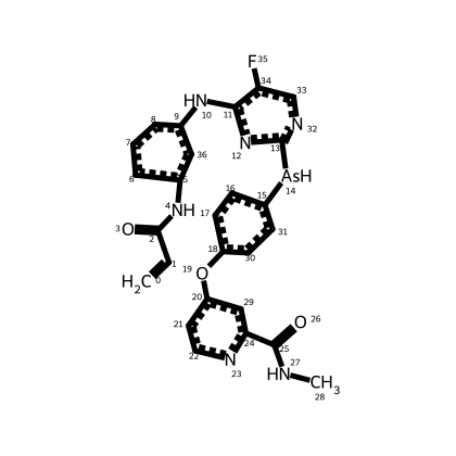 C=CC(=O)Nc1cccc(Nc2nc([AsH]c3ccc(Oc4ccnc(C(=O)NC)c4)cc3)ncc2F)c1